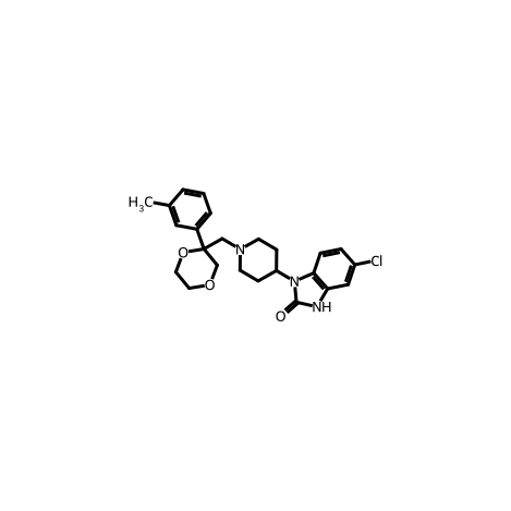 Cc1cccc(C2(CN3CCC(n4c(=O)[nH]c5cc(Cl)ccc54)CC3)COCCO2)c1